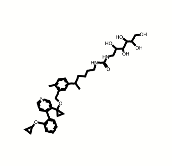 Cc1ccc(C(C)CCCCNC(=O)NCC(O)C(O)C(O)C(O)CO)cc1COC1(c2cnccc2-c2ccccc2OC2CC2)CC1